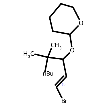 CCCCC(C)(C)C(/C=C/Br)OC1CCCCO1